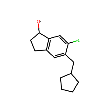 [O]C1CCc2cc(CC3CCCC3)c(Cl)cc21